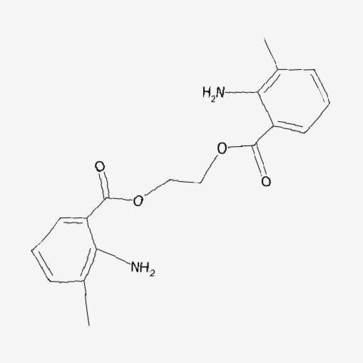 Cc1cccc(C(=O)OCCOC(=O)c2cccc(C)c2N)c1N